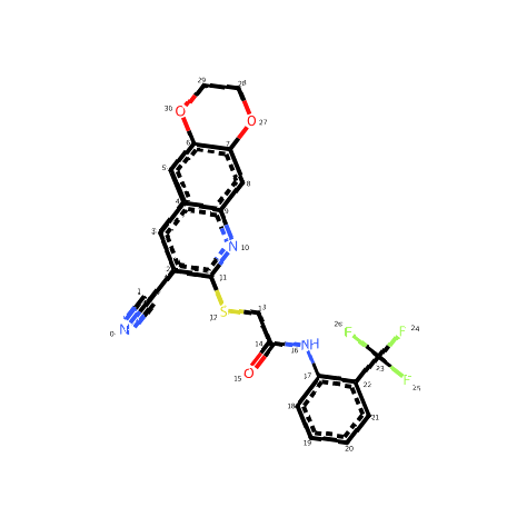 N#Cc1cc2cc3c(cc2nc1SCC(=O)Nc1ccccc1C(F)(F)F)OCCO3